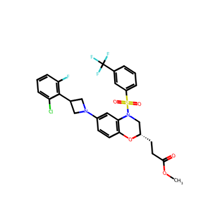 COC(=O)CC[C@H]1CN(S(=O)(=O)c2cccc(C(F)(F)F)c2)c2cc(N3CC(c4c(F)cccc4Cl)C3)ccc2O1